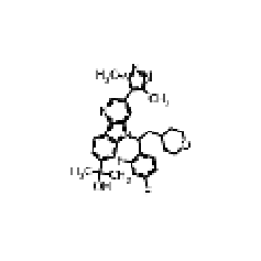 Cc1nnn(C)c1-c1cnc2c3ccc(C(C)(C)O)cc3n(C(CC3CCOCC3)c3ccc(F)cc3F)c2c1